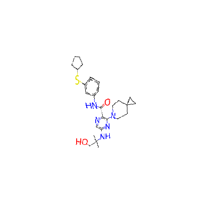 CC(C)(CO)Nc1cnc(C(=O)Nc2cccc(SC3CCCC3)c2)c(N2CCC3(CC2)CC3)n1